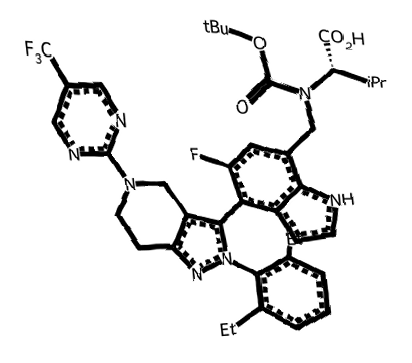 CCc1cccc(CC)c1-n1nc2c(c1-c1c(F)cc(CN(C(=O)OC(C)(C)C)[C@H](C(=O)O)C(C)C)c3[nH]ccc13)CN(c1ncc(C(F)(F)F)cn1)CC2